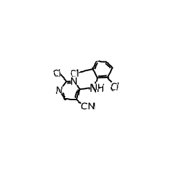 N#Cc1cnc(Cl)nc1Nc1c(Cl)cccc1Cl